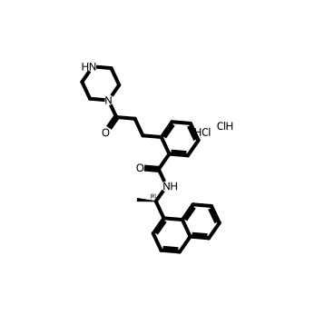 C[C@@H](NC(=O)c1ccccc1CCC(=O)N1CCNCC1)c1cccc2ccccc12.Cl.Cl